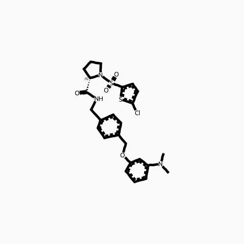 CN(C)c1cccc(OCc2ccc(CNC(=O)[C@@H]3CCCN3S(=O)(=O)c3ccc(Cl)s3)cc2)c1